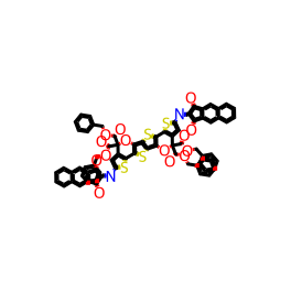 O=C(OCc1ccccc1)C1(C(=O)OCc2ccccc2)Oc2c(sc3c4c(sc23)-c2sc(N=c3c(=O)c5cc6ccccc6cc5c3=O)cc2C(C(=O)OCc2ccccc2)(C(=O)OCc2ccccc2)O4)-c2sc(N=c3c(=O)c4cc5ccccc5cc4c3=O)cc21